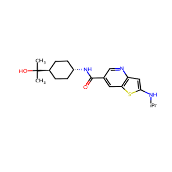 CC(C)Nc1cc2ncc(C(=O)N[C@H]3CC[C@H](C(C)(C)O)CC3)cc2s1